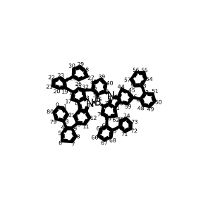 c1ccc(-c2ccccc2-c2ccc3c(c2)c2cc(-c4ccccc4-c4ccccc4)cc4c2n3B2c3c-4cccc3-n3c4ccc(-c5ccccc5-c5ccccc5)cc4c4cc(-c5ccccc5-c5ccccc5)cc2c43)cc1